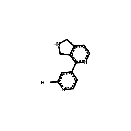 Cc1cc(-c2nccc3c2CNC3)ccn1